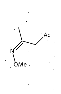 CON=C(C)CC(C)=O